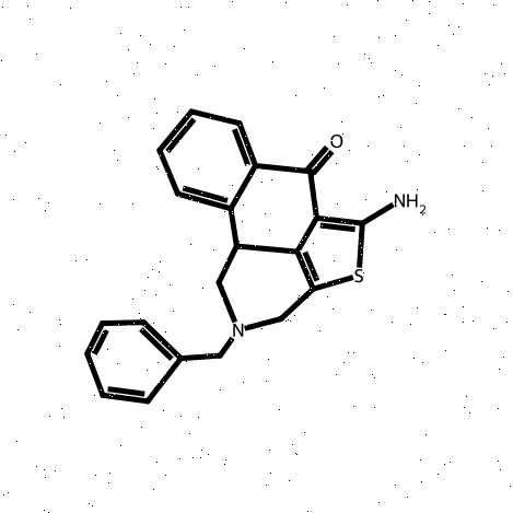 Nc1sc2c3c1C(=O)c1ccccc1C3CN(Cc1ccccc1)C2